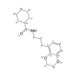 O=C(NCCCc1cccc2c1OCCO2)C1CCCCC1